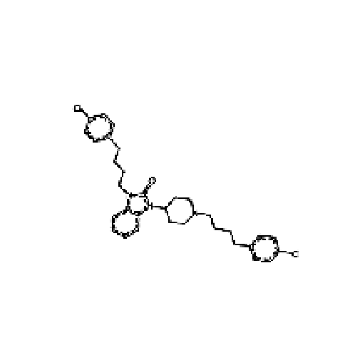 O=c1n(CCCCc2ccc(Cl)cc2)c2ccccc2n1C1CCN(CCCCc2ccc(Cl)cc2)CC1